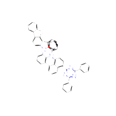 c1ccc(-c2nc(-c3ccccc3)nc(-c3ccc4c5c(cccc35)-c3cccc(-n5c6ccccc6c6c7sc8ccccc8c7ccc65)c3N4c3ccccc3)n2)cc1